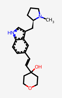 CN1CCC[C@@H]1Cc1c[nH]c2ccc(C=CC3(O)CCOCC3)cc12